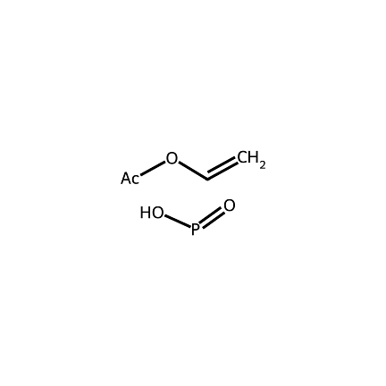 C=COC(C)=O.O=PO